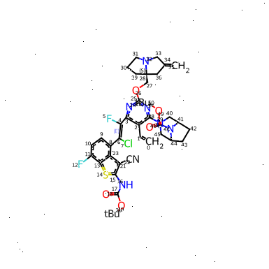 C=Cc1c(/C(F)=C(\Cl)c2ccc(F)c3sc(NC(=O)OC(C)(C)C)c(C#N)c23)nc(OC[C@@]23CCCN2CC(=C)C3)nc1N1CC2CCC(C1)N2C(=O)OC(C)(C)C